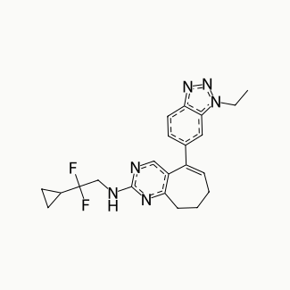 CCn1nnc2ccc(C3=CCCCc4nc(NCC(F)(F)C5CC5)ncc43)cc21